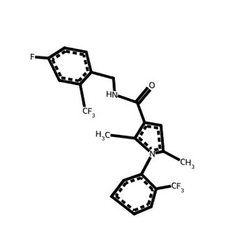 Cc1cc(C(=O)NCc2ccc(F)cc2C(F)(F)F)c(C)n1-c1ccccc1C(F)(F)F